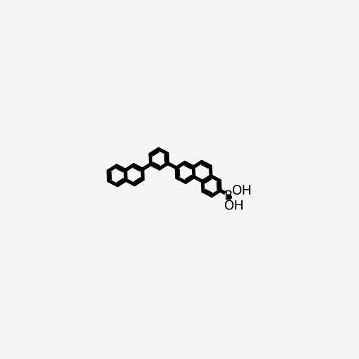 OB(O)c1ccc2c(ccc3cc(-c4cccc(-c5ccc6ccccc6c5)c4)ccc32)c1